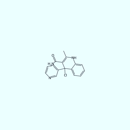 CC1=C(C(N)=O)C(Cl)(c2cccnc2)c2ccccc2N1